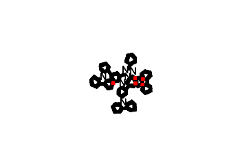 c1ccc(-c2nc(-c3ccccc3)nc(-c3cc(-c4ccccc4-n4c5ccccc5c5ccccc54)ccc3-n3c4ccc(-n5c6ccccc6c6ccccc65)cc4c4cc(-n5c6ccccc6c6ccccc65)ccc43)n2)cc1